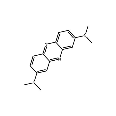 CN(C)c1ccc2nc3ccc(N(C)C)cc3nc2c1